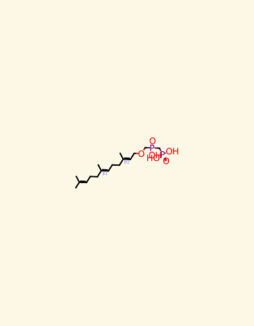 CC(C)=CCC/C(C)=C/CC/C(C)=C/COCP(=O)(O)CP(=O)(O)O